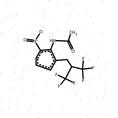 CC(=O)Nc1c(CC(C(F)(F)F)C(F)(F)F)cccc1[N+](=O)[O-]